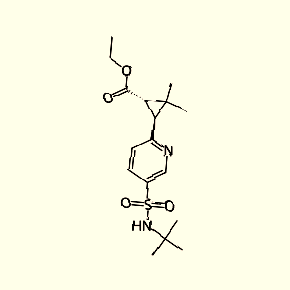 CCOC(=O)[C@H]1[C@H](c2ccc(S(=O)(=O)NC(C)(C)C)cn2)C1(C)C